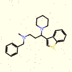 CN(CCC(c1csc2ccccc12)N1CCCCC1)Cc1ccccc1